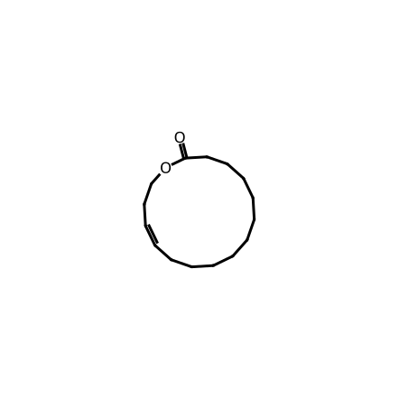 O=C1CCCCCCCCCCC=CCCO1